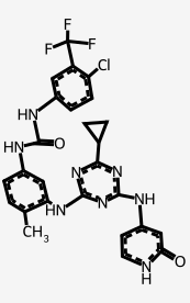 Cc1ccc(NC(=O)Nc2ccc(Cl)c(C(F)(F)F)c2)cc1Nc1nc(Nc2cc[nH]c(=O)c2)nc(C2CC2)n1